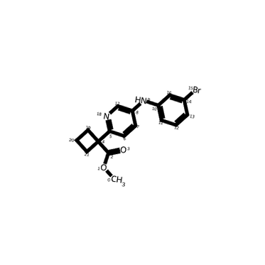 COC(=O)C1(c2ccc(Nc3cccc(Br)c3)cn2)CCC1